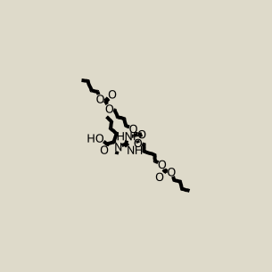 CCCCOC(=O)OCCCCOP(=O)(NC(=N)N(C)C(CCCC)C(=O)O)OCCCCOC(=O)OCCCC